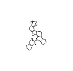 c1ccc2nc(-n3c4ccccc4c4ccc5c(oc6ccc7nccnc7c65)c43)ncc2c1